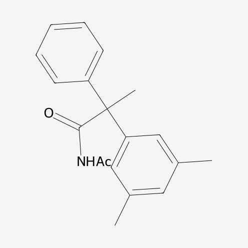 CC(=O)NC(=O)C(C)(c1ccccc1)c1cc(C)cc(C)c1